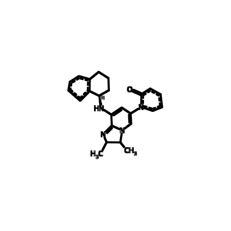 CC1N=C2C(N[C@@H]3CCCc4ccccc43)=CC(n3ccccc3=O)=CN2C1C